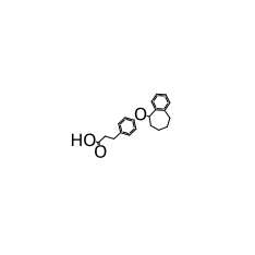 O=C(O)CCc1ccc(OC2CCCCc3ccccc32)cc1